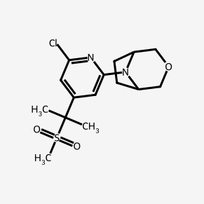 CC(C)(c1cc(Cl)nc(N2C3CCC2COC3)c1)S(C)(=O)=O